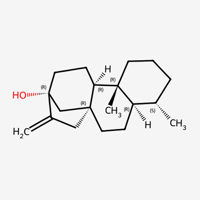 C=C1C[C@@]23CC[C@@H]4[C@@H](C)CCC[C@@]4(C)[C@@H]2CC[C@@]1(O)C3